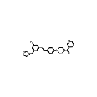 O=C(c1cccnc1)N1CCN(c2ccc(C=Cc3cc(Cl)cc(Cn4ccnc4)c3)cc2)CC1